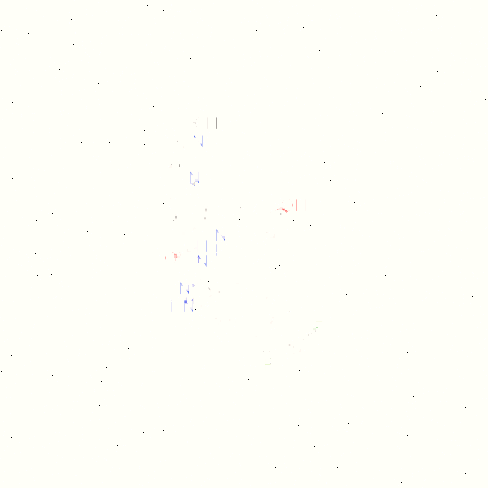 CN1CCN(c2ccc(C(=O)Nc3n[nH]c4ccc(Cc5cc(F)cc(F)c5)cc34)c(N[C@H]3CC[C@H](O)CC3)c2)CC1